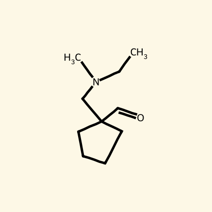 CCN(C)CC1(C=O)CCCC1